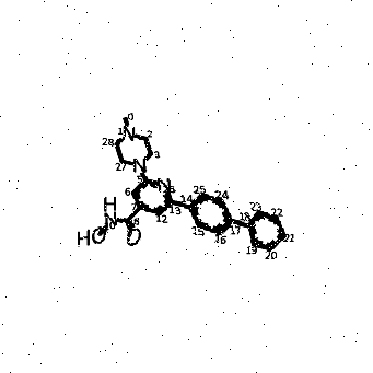 CN1CCN(c2cc(C(=O)NO)cc(-c3ccc(-c4ccccc4)cc3)n2)CC1